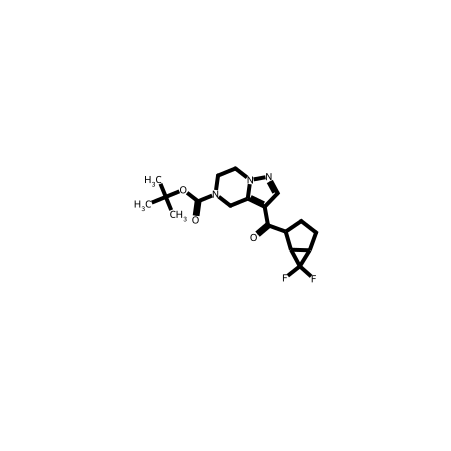 CC(C)(C)OC(=O)N1CCn2ncc(C(=O)C3CCC4C3C4(F)F)c2C1